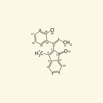 C/C=C(\C1=C(C)c2ccccc2C1=O)c1ccccc1Cl